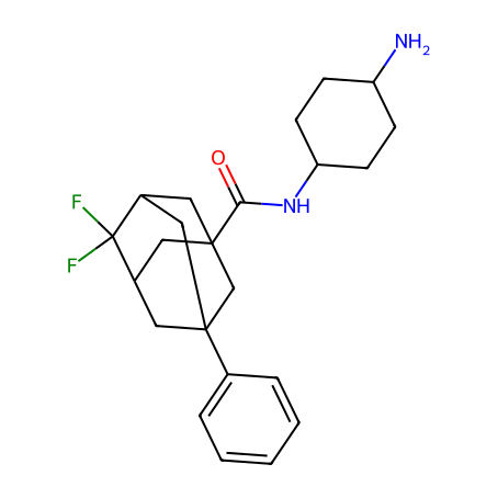 NC1CCC(NC(=O)C23CC4CC(c5ccccc5)(CC(C2)C4(F)F)C3)CC1